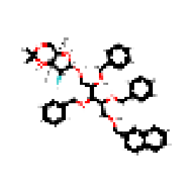 CC1(C)OC[C@H]2O[C@@H](OCC(OCc3ccccc3)C(OCc3ccccc3)C(COCc3ccc4ccccc4c3)OCc3ccccc3)C(F)[C@H]2O1